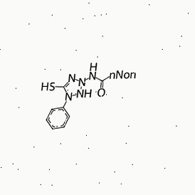 CCCCCCCCCC(=O)NN1N=C(S)N(c2ccccc2)N1